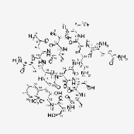 CC[C@H](C)[C@H](NC(=O)[C@H](CC(C)C)NC(=O)[C@H](CCCCN)NC(=O)[C@@H](N)CCC(N)=O)C(=O)N[C@@H](C)C(=O)N[C@@H](CC(N)=O)C(=O)N[C@@H](CCC(N)=O)C(=O)N[C@@H](Cc1ccccc1)C(=O)N[C@@H](CC(N)=O)C(=O)N[C@@H](CO)C(=O)N[C@@H](C)C(=O)N[C@@H](CO)C(=O)N[C@@H](CO)C(=O)O